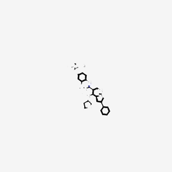 CCc1cc(O[Si](C)(C)C(C)(C)C)ccc1/N=C(\N)c1cnn2cc(-c3ccccc3)cc2c1N[C@@H]1COC(=O)C1